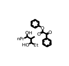 CCCC(O)C(C)C(O)CC.O=C(Oc1ccccc1)C(=O)c1ccccc1